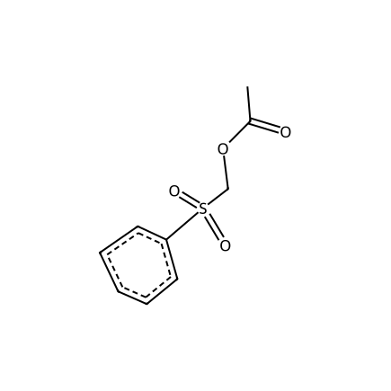 CC(=O)OCS(=O)(=O)c1ccccc1